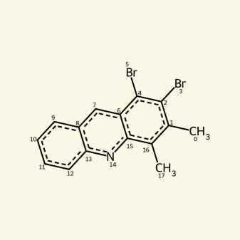 Cc1c(Br)c(Br)c2cc3ccccc3nc2c1C